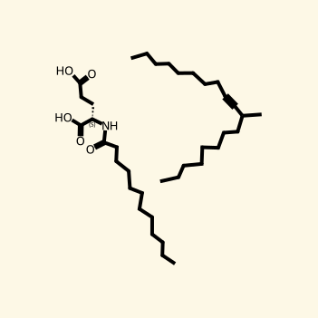 CCCCCCCCC#CC(C)CCCCCCCC.CCCCCCCCCCCC(=O)N[C@@H](CCC(=O)O)C(=O)O